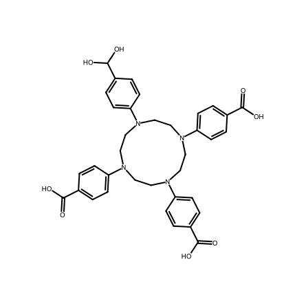 O=C(O)c1ccc(N2CCN(c3ccc(C(=O)O)cc3)CCN(c3ccc(C(O)O)cc3)CCN(c3ccc(C(=O)O)cc3)CC2)cc1